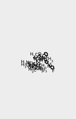 CC[C@H](C)[C@@H]([C@@H](CC(=O)N1CCC[C@H]1[C@H](OC)[C@@H](C)C(=O)N[C@@H](Cc1ccccc1)C(=O)Nc1ccc(-c2nc3cc(F)ccc3s2)cc1C)OC)N(C)[C@H](C(=O)NC(=O)C(C)(C)N)C(C)C